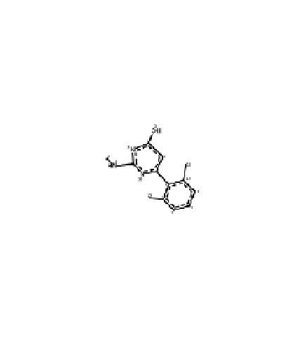 CNc1nc(O)cc(-c2c(C)cccc2C)n1